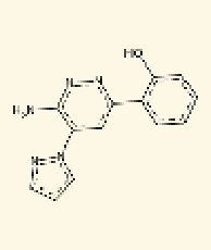 Nc1nnc(-c2ccccc2O)cc1-n1cccn1